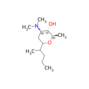 CCCC(C)C1C[C@@H](N(C)C)[C@H](O)[C@@H](C)O1